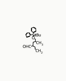 C=CCC(C=O)CC(C)CO[Si](c1ccccc1)(c1ccccc1)C(C)(C)C